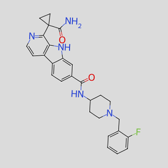 NC(=O)C1(c2nccc3c2[nH]c2cc(C(=O)NC4CCN(Cc5ccccc5F)CC4)ccc23)CC1